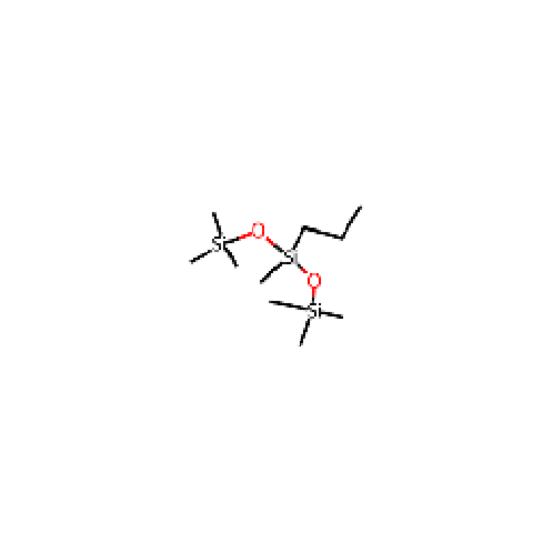 CCC[Si](C)(O[Si](C)(C)C)O[Si](C)(C)C